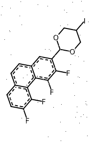 Fc1ccc2ccc3cc(C4OCC(I)CO4)c(F)c(F)c3c2c1F